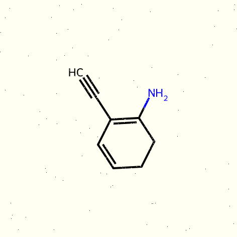 C#CC1=C(N)CCC=C1